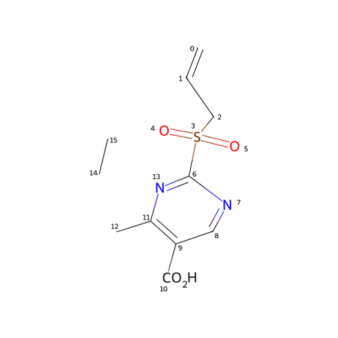 C=CCS(=O)(=O)c1ncc(C(=O)O)c(C)n1.CC